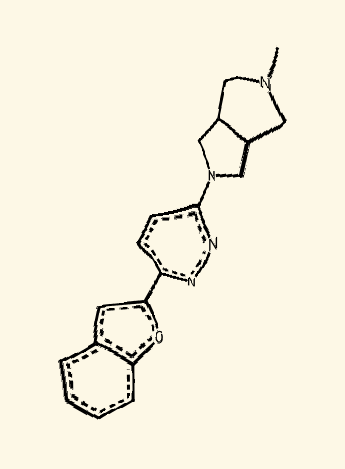 CN1CC2CN(c3ccc(-c4cc5ccccc5o4)nn3)CC2C1